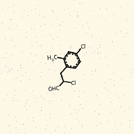 Cc1cc(Cl)ccc1CC(Cl)C=O